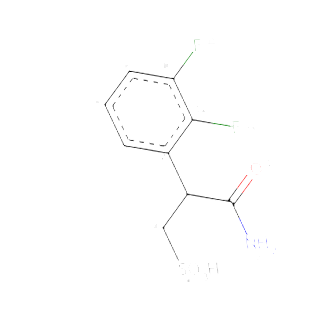 NC(=O)C(CS(=O)(=O)O)c1cccc(F)c1F